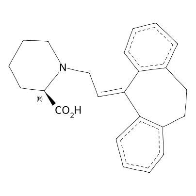 O=C(O)[C@H]1CCCCN1CC=C1c2ccccc2CCc2ccccc21